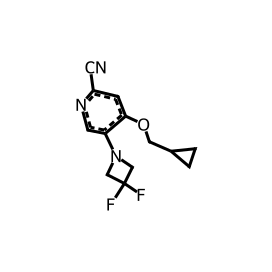 N#Cc1cc(OCC2CC2)c(N2CC(F)(F)C2)cn1